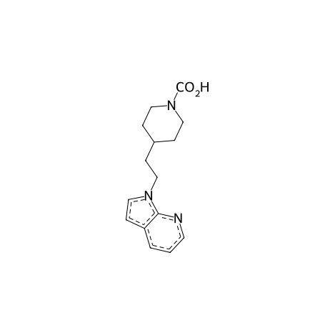 O=C(O)N1CCC(CCn2ccc3cccnc32)CC1